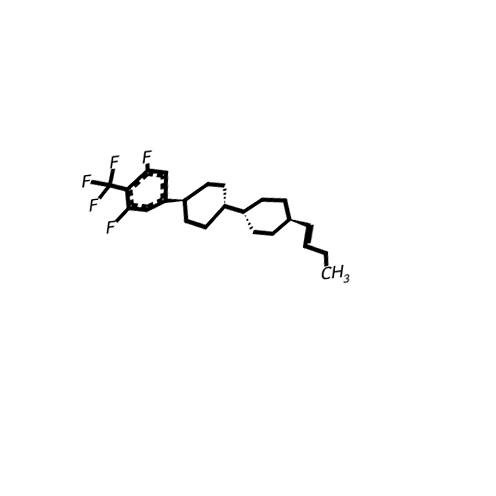 CC/C=C/[C@H]1CC[C@H]([C@H]2CC[C@H](c3cc(F)c(C(F)(F)F)c(F)c3)CC2)CC1